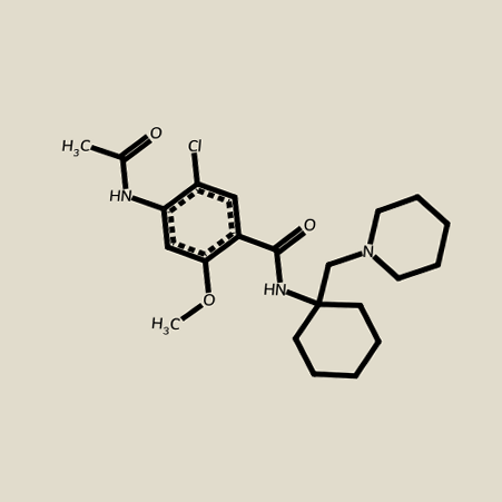 COc1cc(NC(C)=O)c(Cl)cc1C(=O)NC1(CN2CCCCC2)CCCCC1